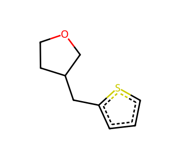 c1csc(CC2CCOC2)c1